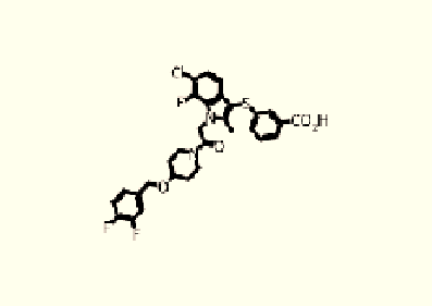 Cc1c(Sc2cccc(C(=O)O)c2)c2ccc(Cl)c(F)c2n1CC(=O)N1CCC(OCc2ccc(F)c(F)c2)CC1